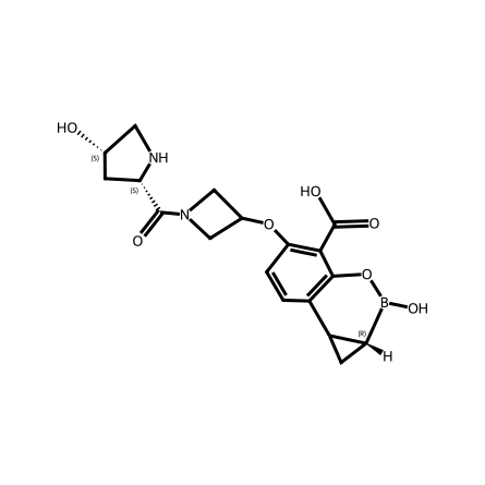 O=C(O)c1c(OC2CN(C(=O)[C@@H]3C[C@H](O)CN3)C2)ccc2c1OB(O)[C@@H]1CC21